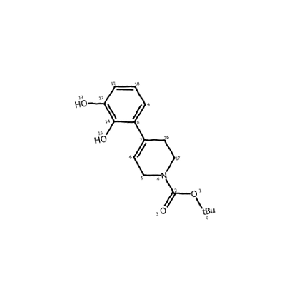 CC(C)(C)OC(=O)N1CC=C(c2cccc(O)c2O)CC1